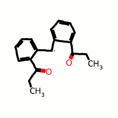 CCC(=O)c1ccccc1[CH]c1ccccc1C(=O)CC